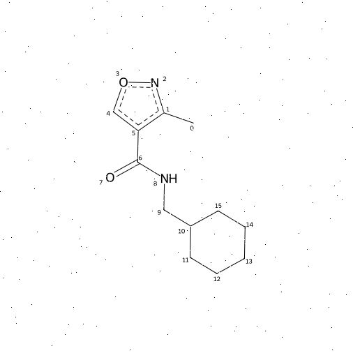 Cc1nocc1C(=O)NCC1CCCCC1